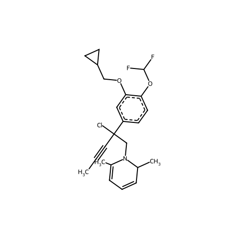 CC#CC(Cl)(CN1C(C)=CC=CC1C)c1ccc(OC(F)F)c(OCC2CC2)c1